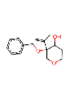 C=C(C)C1(OCc2ccccc2)COCCC1O